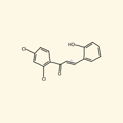 O=C(/C=C/c1ccccc1O)c1ccc(Cl)cc1Cl